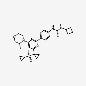 C[C@H]1COCCN1c1cc(C2(S(=O)(=O)C3CC3)CC2)nc(-c2ccc(NC(=O)NC3CCC3)cc2)n1